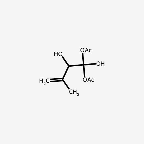 C=C(C)C(O)C(O)(OC(C)=O)OC(C)=O